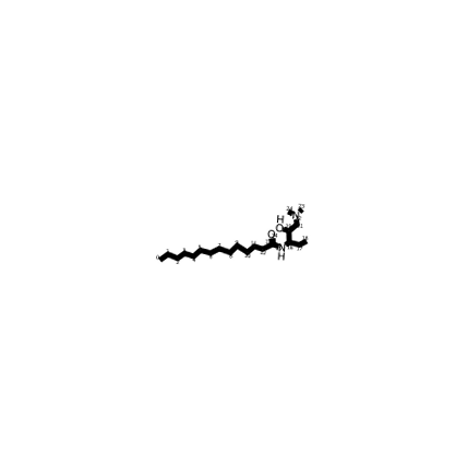 CCCCCCCCCCCCCC(=O)NC(CC)C(O)CN(C)C